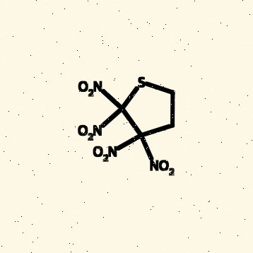 O=[N+]([O-])C1([N+](=O)[O-])CCSC1([N+](=O)[O-])[N+](=O)[O-]